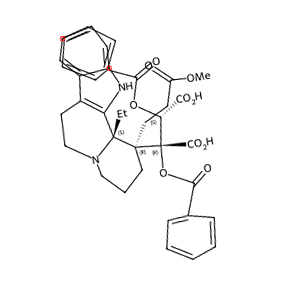 CC[C@]12c3[nH]c4ccccc4c3CCN1CCC[C@]2(CCC(=O)OC)[C@](OC(=O)c1ccccc1)(C(=O)O)[C@H](OC(=O)c1ccccc1)C(=O)O